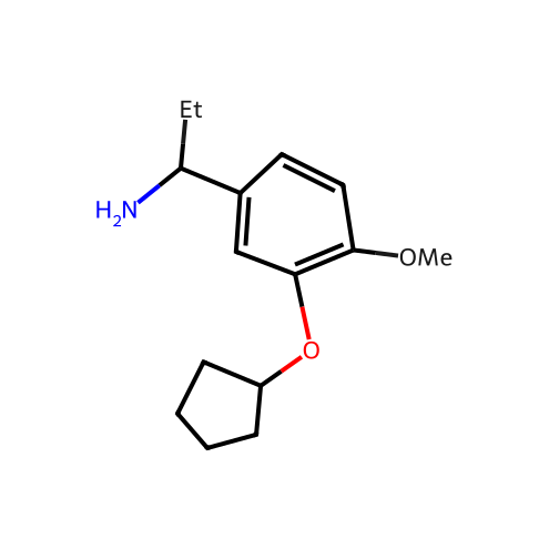 CCC(N)c1ccc(OC)c(OC2CCCC2)c1